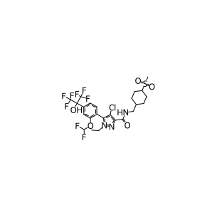 CCn1nc(C(=O)NCC2CCC(S(C)(=O)=O)CC2)c(Cl)c1-c1ccc(C(O)(C(F)(F)F)C(F)(F)F)cc1OC(F)F